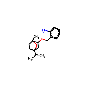 CC(C)C12CCC(C)(O1)C(OCc1ccccc1N)C2